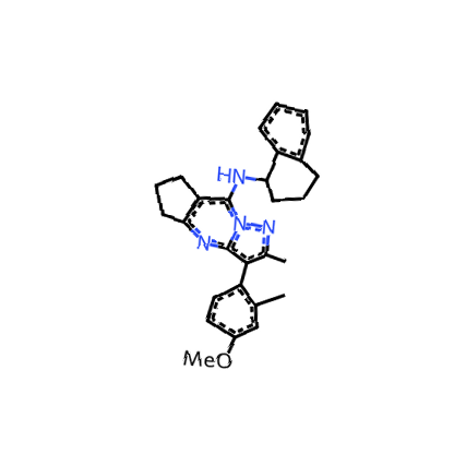 COc1ccc(-c2c(C)nn3c(NC4CCCc5ccccc54)c4c(nc23)CCC4)c(C)c1